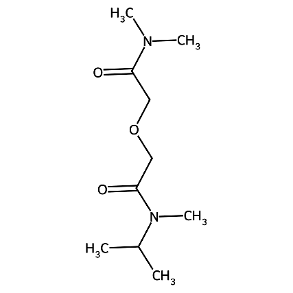 CC(C)N(C)C(=O)COCC(=O)N(C)C